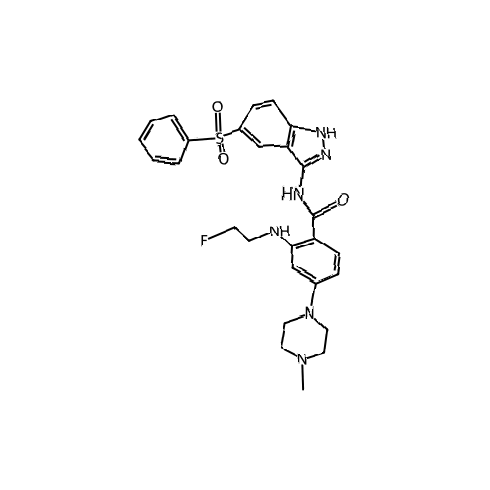 CN1CCN(c2ccc(C(=O)Nc3n[nH]c4ccc(S(=O)(=O)c5ccccc5)cc34)c(NCCF)c2)CC1